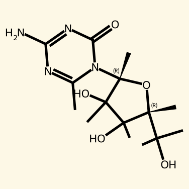 Cc1nc(N)nc(=O)n1[C@]1(C)O[C@](C)(C(C)(C)O)C(C)(O)C1(C)O